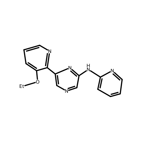 CCOc1cccnc1-c1cncc(Nc2ccccn2)n1